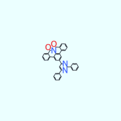 O=c1c2ccccc2c2cc(-c3cc(-c4ccccc4)nc(-c4ccccc4)n3)cc3c4ccccc4c(=O)n1c23